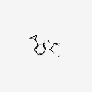 [CH2]C(CO)c1cccc(C2CC2)c1C